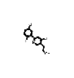 OCCc1cnc(-c2cc(Cl)ccc2F)cc1Cl